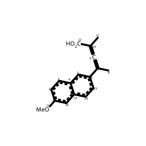 COc1ccc2cc(C(C)=C=C(C)C(=O)O)ccc2c1